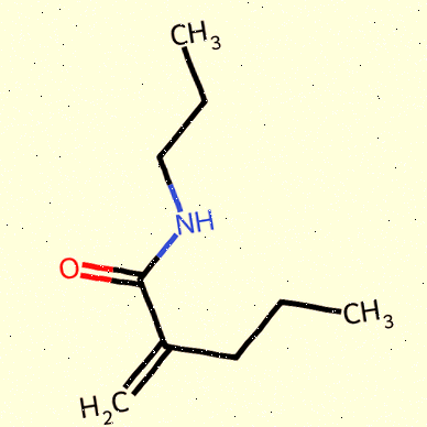 C=C(CCC)C(=O)NCCC